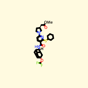 COC(=O)C[C@@H]1CCN(c2ccc(C(=O)N[C@H]3C4CC5CC3C[C@@](OC(F)F)(C5)C4)c(SC3CCCCC3)n2)C1